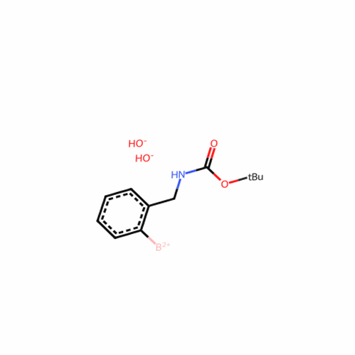 [B+2]c1ccccc1CNC(=O)OC(C)(C)C.[OH-].[OH-]